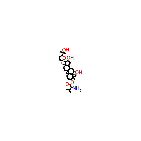 CC(C)C(N)C(=O)O[C@H]1CCC23C[C@]24CC[C@]2(C)[C@@H]([C@@]5(C)CC[C@@H](C(C)(C)O)O5)[C@@H](O)C[C@@]2(C)C4C[C@H](O)[C@H]3C1(C)C